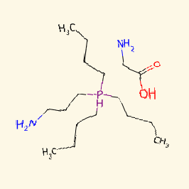 CCCC[PH](CCCC)(CCCC)CCCN.NCC(=O)O